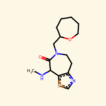 CNC1C(=O)N(CC2CCCCCO2)CCc2ncsc21